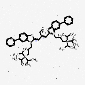 CCC(/C=C1\Oc2ccc(-c3ccccc3)cc2N1CCC[N+](C(C)C)(C(C)C)C(C)C)=C\c1oc2ccc(-c3ccccc3)cc2[n+]1CCC[N+](C(C)C)(C(C)C)C(C)C